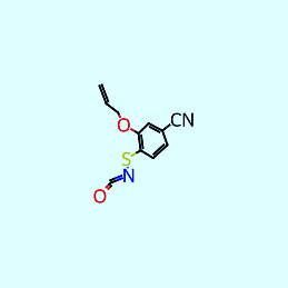 C=CCOc1cc(C#N)ccc1SN=C=O